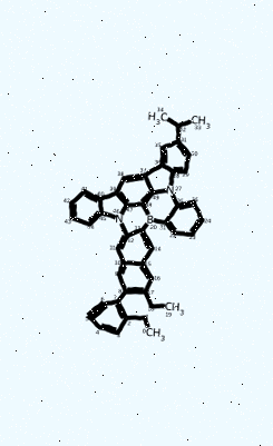 CCc1ccc#cc1-c1cc2cc3c(cc2cc1CC)B1c2ccccc2-n2c4ccc(C(C)C)cc4c4cc5c6ccccc6n-3c5c1c42